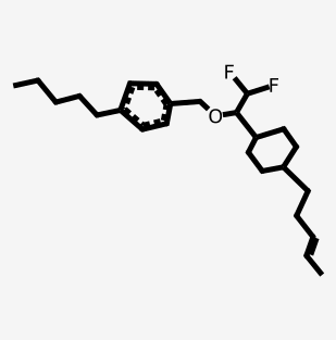 C/C=C/CCC1CCC(C(OCc2ccc(CCCCC)cc2)C(F)F)CC1